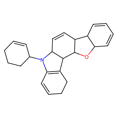 C1=CC2OC3C(C=CC4C3C3=C(C=CCC3)N4C3C=CCCC3)C2C=C1